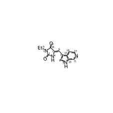 CCN1C(=O)NC(=Cc2c[nH]c3cnccc23)C1=O